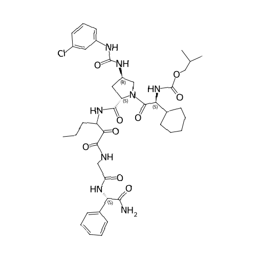 CCCC(NC(=O)[C@@H]1C[C@@H](NC(=O)Nc2cccc(Cl)c2)CN1C(=O)[C@@H](NC(=O)OCC(C)C)C1CCCCC1)C(=O)C(=O)NCC(=O)N[C@H](C(N)=O)c1ccccc1